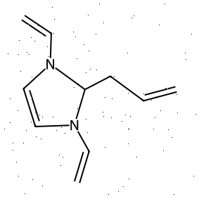 C=CCC1N(C=C)C=CN1C=C